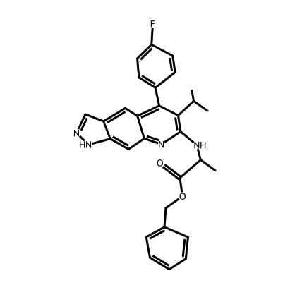 CC(Nc1nc2cc3[nH]ncc3cc2c(-c2ccc(F)cc2)c1C(C)C)C(=O)OCc1ccccc1